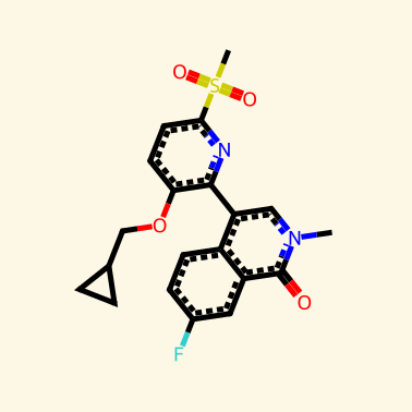 Cn1cc(-c2nc(S(C)(=O)=O)ccc2OCC2CC2)c2ccc(F)cc2c1=O